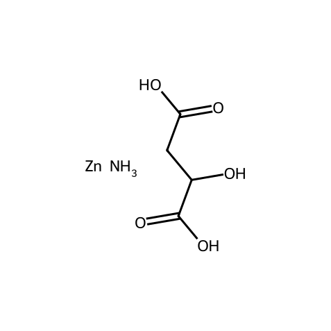 N.O=C(O)CC(O)C(=O)O.[Zn]